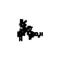 Cc1cc(-n2c(C(C)C)c(C3CCC(CF)(C(=O)O)CC3)c3nc4[nH]ncc4cc32)ccc1F